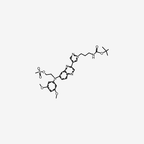 COc1cc(OC)cc(N(CCOS(C)(=O)=O)c2ccc3ncc(-c4cnn(CCCNC(=O)OC(C)(C)C)c4)nc3c2)c1